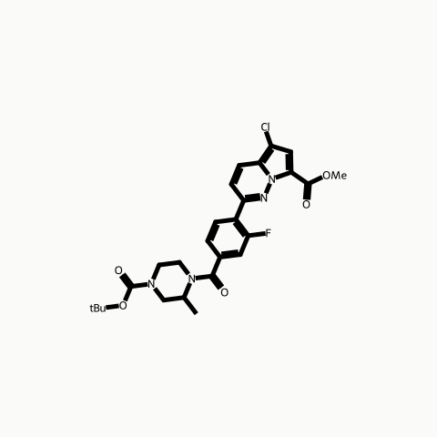 COC(=O)c1cc(Cl)c2ccc(-c3ccc(C(=O)N4CCN(C(=O)OC(C)(C)C)CC4C)cc3F)nn12